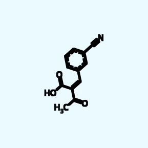 CC(=O)C(=Cc1cccc(C#N)c1)C(=O)O